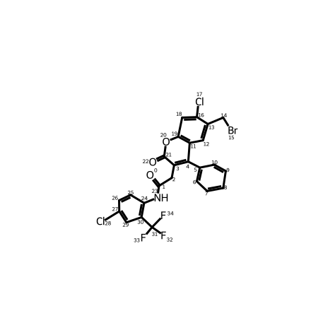 O=C(Cc1c(-c2ccccc2)c2cc(CBr)c(Cl)cc2oc1=O)Nc1ccc(Cl)cc1C(F)(F)F